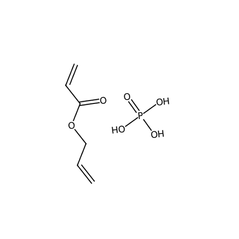 C=CCOC(=O)C=C.O=P(O)(O)O